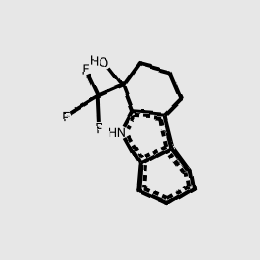 OC1(C(F)(F)F)CCCc2c1[nH]c1ccccc21